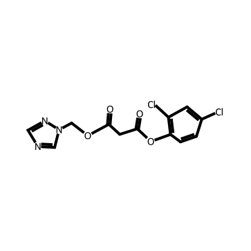 O=C(CC(=O)Oc1ccc(Cl)cc1Cl)OCn1cncn1